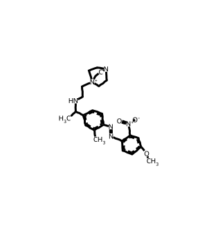 COc1ccc(N=Nc2ccc(C(C)NCC[N+]34CCN(CC3)CC4)cc2C)c([N+](=O)[O-])c1